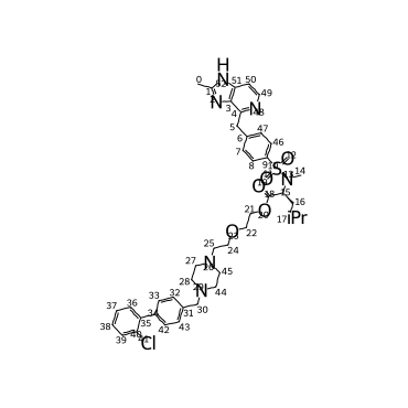 Cc1nc2c(Cc3ccc(S(=O)(=O)N(C)[C@@H](CC(C)C)C(=O)OCCOCCN4CCN(Cc5ccc(-c6ccccc6Cl)cc5)CC4)cc3)nccc2[nH]1